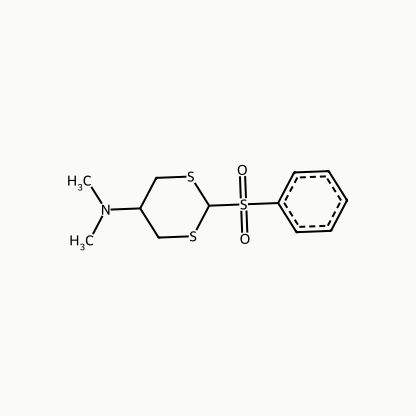 CN(C)C1CSC(S(=O)(=O)c2ccccc2)SC1